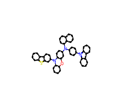 c1ccc2c(c1)Oc1cc(N(c3ccc(-n4c5ccccc5c5ccccc54)cc3)c3cccc4ccccc34)ccc1N2c1ccc2c(c1)sc1ccccc12